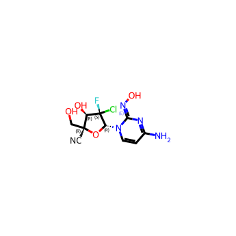 N#C[C@]1(CO)O[C@@H](n2ccc(N)n/c2=N\O)[C@@](F)(Cl)[C@@H]1O